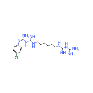 N=C(N)NC(=N)NCCCCCCNC(=N)NC(N)=Nc1ccc(Cl)cc1